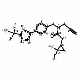 C#CCN(Cc1ccc(-c2noc(C(F)(F)F)n2)cc1)C(=O)CC1CC1(F)F